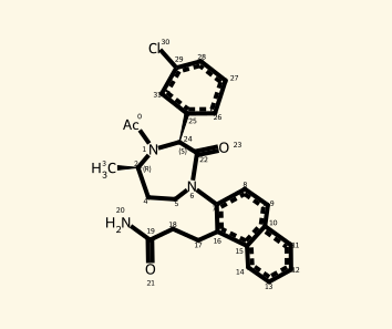 CC(=O)N1[C@H](C)CCN(c2ccc3ccccc3c2CCC(N)=O)C(=O)[C@@H]1c1cccc(Cl)c1